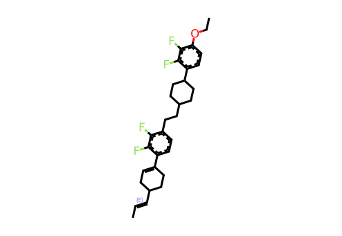 C/C=C/C1CC=C(c2ccc(CCC3CCC(c4ccc(OCC)c(F)c4F)CC3)c(F)c2F)CC1